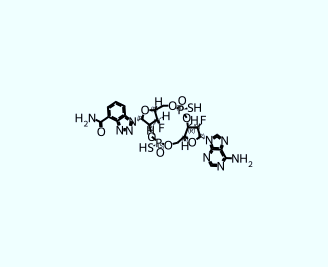 NC(=O)c1cccc2c1nnn2[C@@H]1O[C@@H]2CO[P@@](=O)(S)O[C@H]3[C@@H](F)[C@H](n4cnc5c(N)ncnc54)O[C@@H]3CO[P@](=O)(S)O[C@@H]1[C@@H]2F